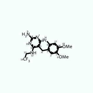 COc1cc(Cc2cnc(N)nc2NCC(F)(F)F)c(C(C)C)cc1OC